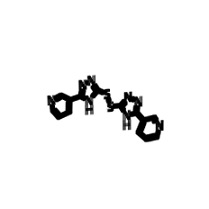 c1cncc(-c2nnc(SSc3nnc(-c4cccnc4)[nH]3)[nH]2)c1